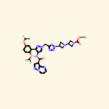 CC(C)(C)OC(=O)N1CC(N2CC(n3nnc(Cn4cc(NC(=O)c5cnn6cccnc56)c(-c5cc(OC(F)F)ccc5OC(F)F)n4)n3)C2)C1